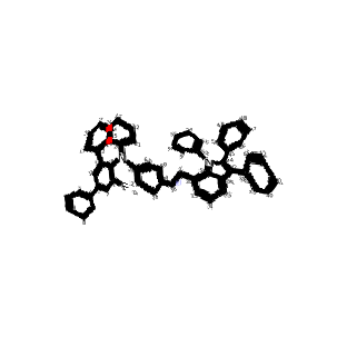 Fc1cc(-c2ccccc2)cc(-c2ccccc2)c1N(c1ccccc1)c1ccc(/C=C/c2cccc3c(-c4ccccc4)c(-c4ccccc4)n(-c4ccccc4)c23)cc1